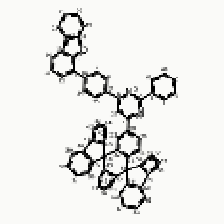 c1ccc(-c2nc(-c3ccc(-c4cccc5c4oc4ccccc45)cc3)cc(-c3ccc4c(c3)C3(c5ccccc5-c5ccccc53)c3ccccc3C43c4ccccc4-c4ccccc43)n2)cc1